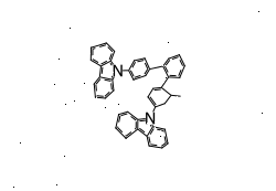 CC1CC(n2c3ccccc3c3ccccc32)=CC=C1c1ccccc1-c1ccc(-n2c3ccccc3c3ccccc32)cc1